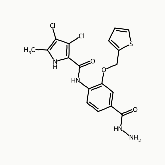 Cc1[nH]c(C(=O)Nc2ccc(C(=O)NN)cc2OCc2cccs2)c(Cl)c1Cl